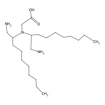 CCCCCCCCC(CN)N(CC(=O)O)C(CN)CCCCCCCC